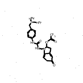 CCCN(CCC)Cc1ccc(NC(=O)NN2C3=CCC(=O)C=C3CC2OC(=O)C(F)(F)F)cc1